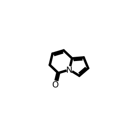 O=C1CC=Cc2cccn21